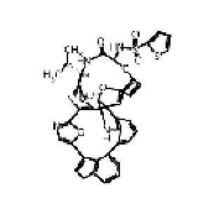 CC(C)[C@@H]1NC(=O)C(NS(=O)(=O)c2cccs2)Cc2ccc3c(c2)C24c5cccc(c5N[C@H]2O3)-c2cccc3c2C(=CC3)c2cnc(o2)-c2nc1oc24